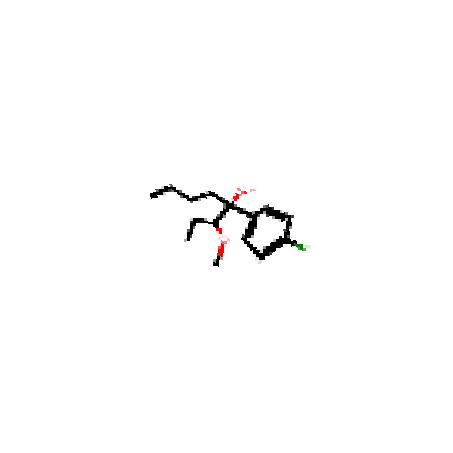 CCCC[C@](O)(c1ccc(F)cc1)[C@H](CC)OC